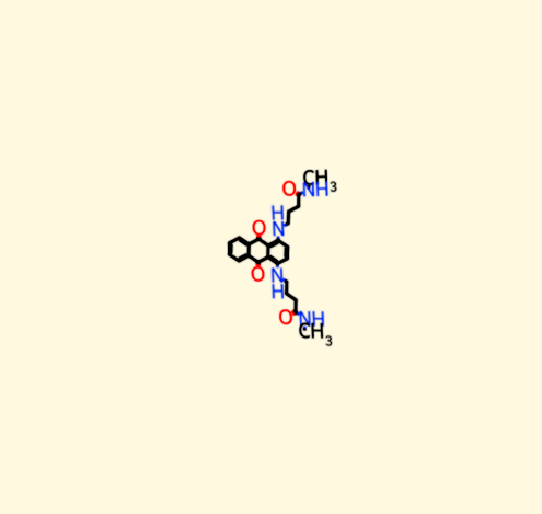 CNC(=O)CCCNc1ccc(NCCCC(=O)NC)c2c1C(=O)c1ccccc1C2=O